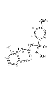 COc1ccc(S(=O)(=NC#N)NC(=O)Nc2c(C(C)C)c#ccc2C(C)C)cc1